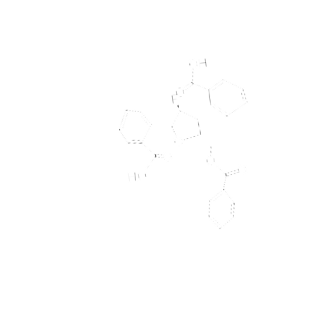 O=C(OC[C@@H]1O[C@H](c2ccccc2C(=O)O)[C@@H](F)[C@@H]1c1ccccc1C(=O)O)c1ccccc1